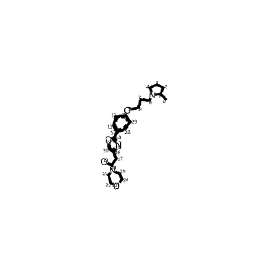 CC1CCCN1CCCOc1ccc(-c2nc(CC(=O)N3CCOCC3)co2)cc1